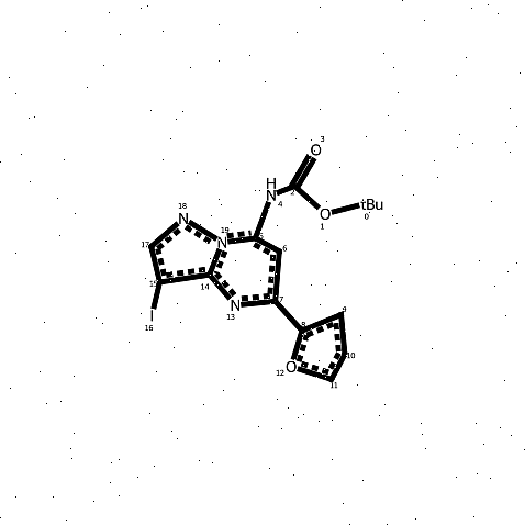 CC(C)(C)OC(=O)Nc1cc(-c2ccco2)nc2c(I)cnn12